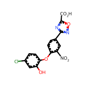 O=C(O)c1nc(-c2ccc(Oc3ccc(Cl)cc3O)c([N+](=O)[O-])c2)no1